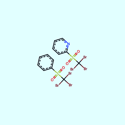 O=S(=O)(c1ccccc1)C(Br)(Br)Br.O=S(=O)(c1ccccn1)C(Br)(Br)Br